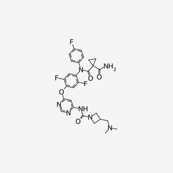 CN(C)CC1CN(C(=O)Nc2cc(Oc3cc(F)c(N(C(=O)C4(C(N)=O)CC4)c4ccc(F)cc4)cc3F)ncn2)C1